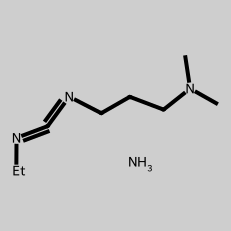 CCN=C=NCCCN(C)C.N